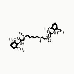 CCN(CCCCCNCC[N+](CC)(CC)CC(=O)Nc1c(C)cccc1C)CC(=O)Nc1c(C)cccc1C